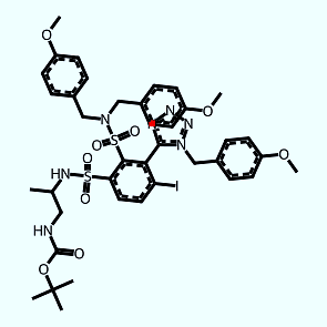 COc1ccc(CN(Cc2ccc(OC)cc2)S(=O)(=O)c2c(S(=O)(=O)NC(C)CNC(=O)OC(C)(C)C)ccc(I)c2-c2nnnn2Cc2ccc(OC)cc2)cc1